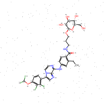 CCc1cc(Nc2nccn3c(-c4ccc(OC(F)F)c(F)c4F)cnc23)ccc1C(=O)NCCCO[C@@H]1O[C@H](CO)[C@@H](O)[C@H](O)[C@H]1O